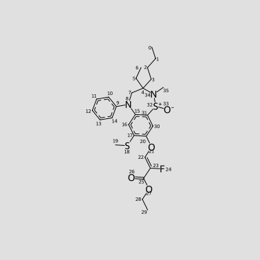 CCCCC1(CC)CN(c2ccccc2)c2cc(SC)c(O/C=C(\F)C(=O)OCC)cc2[S+]([O-])N1C